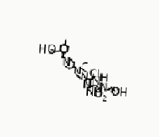 CC[C@H]1CN(c2nc(N)c(C(=O)NCCO)nc2Cl)CCN1C1CCN(Cc2ccc(C)cc2CO)CC1